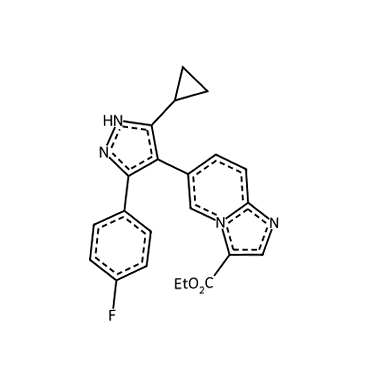 CCOC(=O)c1cnc2ccc(-c3c(-c4ccc(F)cc4)n[nH]c3C3CC3)cn12